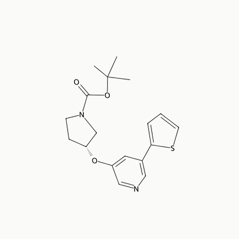 CC(C)(C)OC(=O)N1CC[C@@H](Oc2cncc(-c3cccs3)c2)C1